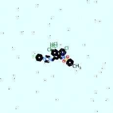 Cc1ccc(S(=O)(=O)NCC(CCCN2CCN(c3ccc(F)cc3)CC2)(c2ccc(Cl)cc2)c2ccc(Cl)cc2)cc1.Cl.Cl